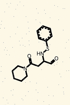 O=CC(CC(=O)N1CCCCC1)NSc1ccccc1